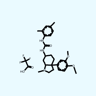 COc1ccc(C23CCC(NC(=O)Nc4ccc(C)cc4C)CC2N(C)CC3)cc1OC.O=C(O)C(F)(F)F